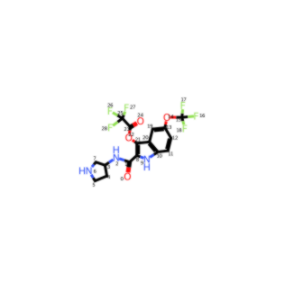 O=C(NC1CCNC1)c1[nH]c2ccc(OC(F)(F)F)cc2c1OC(=O)C(F)(F)F